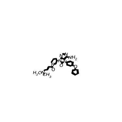 CN(C)CC=CC(=O)N1CCC[C@@H](n2c(=O)n(-c3ccc(Oc4ccccc4)cc3)c3c(N)ncnc32)C1